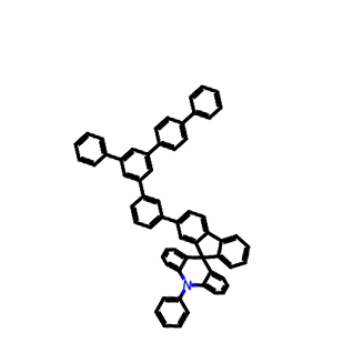 c1ccc(-c2ccc(-c3cc(-c4ccccc4)cc(-c4cccc(-c5ccc6c(c5)C5(c7ccccc7-6)c6ccccc6N(c6ccccc6)c6ccccc65)c4)c3)cc2)cc1